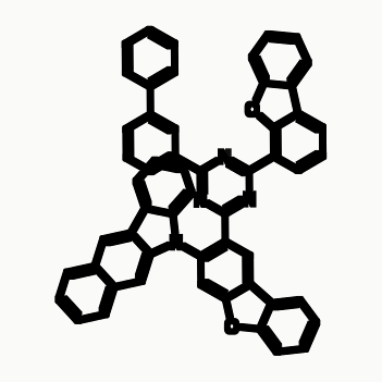 c1ccc(-c2cccc(-c3nc(-c4cc5c(cc4-n4c6ccccc6c6cc7ccccc7cc64)oc4ccccc45)nc(-c4cccc5c4oc4ccccc45)n3)c2)cc1